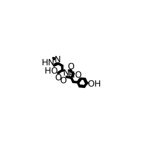 O=C(O)C(Cc1c[nH]cn1)N1C(=O)CC(Cc2ccc(O)cc2O)C1=O